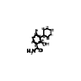 NC(=O)c1ccc(I)c(C2CCCCC2)c1O